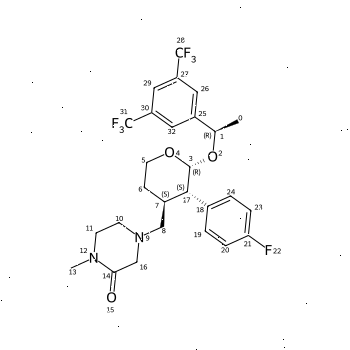 C[C@@H](O[C@H]1OCC[C@H](CN2CCN(C)C(=O)C2)[C@H]1c1ccc(F)cc1)c1cc(C(F)(F)F)cc(C(F)(F)F)c1